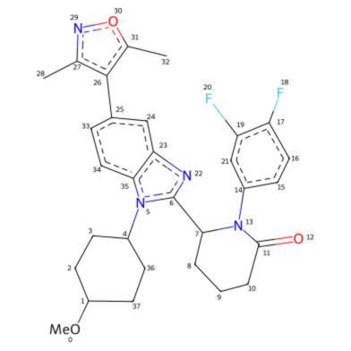 COC1CCC(n2c(C3CCCC(=O)N3c3ccc(F)c(F)c3)nc3cc(-c4c(C)noc4C)ccc32)CC1